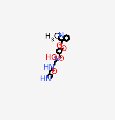 Cc1cc(COC2=CC=C(C(=O)N(O)C=CCNC(=O)CC3CCNC3)CC2=O)c2ccccc2n1